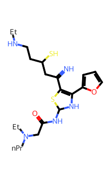 CCCN(CC)CC(=O)NC1NC(c2ccco2)=C(C(=N)CC(S)CCNCC)S1